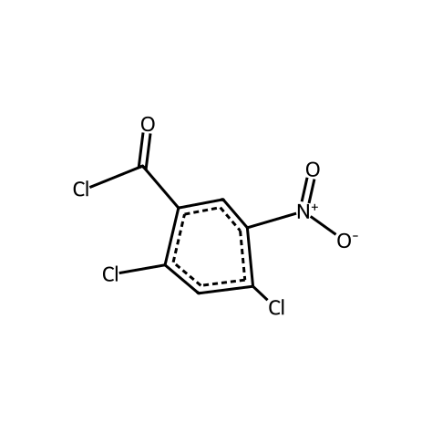 O=C(Cl)c1cc([N+](=O)[O-])c(Cl)cc1Cl